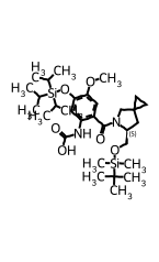 COc1cc(C(=O)N2CC3(CC3)C[C@H]2CO[Si](C)(C)C(C)(C)C)c(NC(=O)O)cc1O[Si](C(C)C)(C(C)C)C(C)C